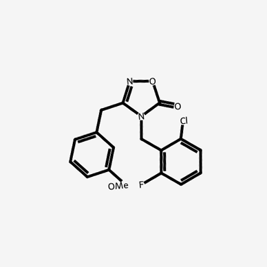 COc1cccc(Cc2noc(=O)n2Cc2c(F)cccc2Cl)c1